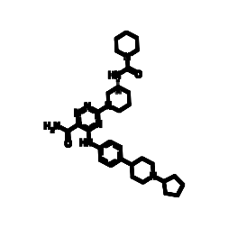 NC(=O)c1nnc(N2CCC[C@@H](NC(=O)N3CCCCC3)C2)nc1Nc1ccc(C2CCN(C3CCCC3)CC2)cc1